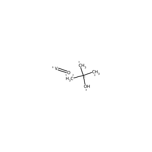 CC(C)(C)O.[O]=[V]